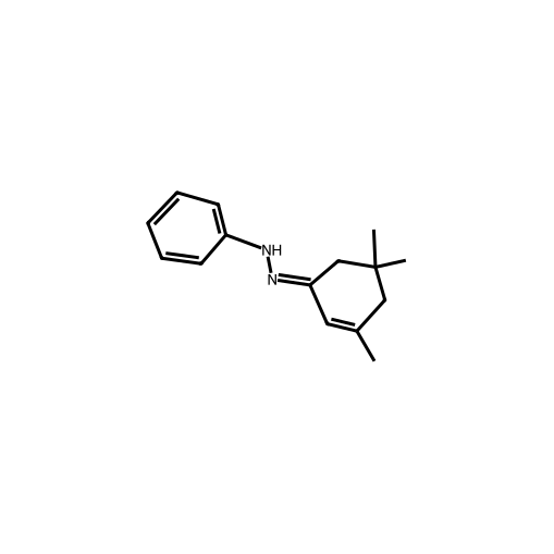 CC1=CC(=NNc2ccccc2)CC(C)(C)C1